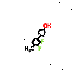 Cc1ccc(C2CCC(O)CC2)c(F)c1F